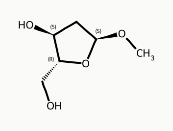 CO[C@@H]1C[C@H](O)[C@@H](CO)O1